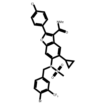 CNC(=O)c1c(-c2ccc(Cl)cc2)oc2cc(N(Cc3ccc(Br)c(C(F)(F)F)c3)S(C)(=O)=O)c(C3CC3)cc12